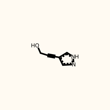 OCC#Cc1cn[nH]c1